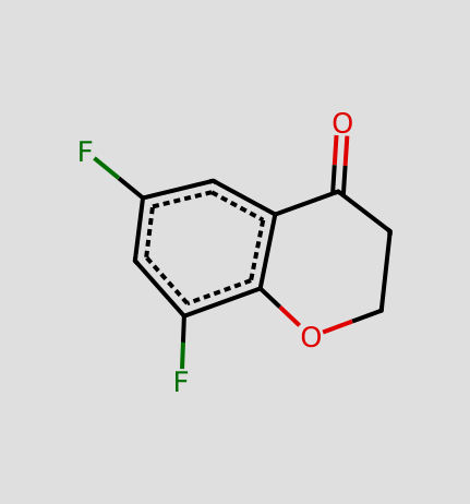 O=C1CCOc2c(F)cc(F)cc21